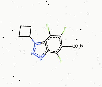 O=C(O)c1c(F)c(F)c2c(nnn2C2CCC2)c1F